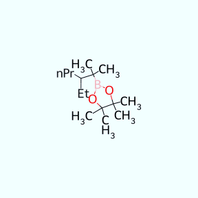 CCCC(CC)C(C)(C)B1OC(C)(C)C(C)(C)O1